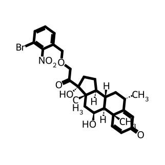 C[C@H]1C[C@@H]2[C@H]([C@@H](O)C[C@@]3(C)[C@H]2CC[C@]3(O)C(=O)COCc2cccc(Br)c2[N+](=O)[O-])[C@@]2(C)C=CC(=O)C=C12